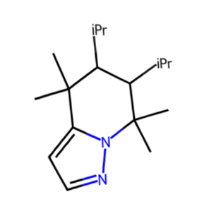 CC(C)C1C(C(C)C)C(C)(C)n2nccc2C1(C)C